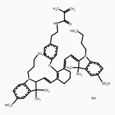 C=C(C)C(=O)NCCc1ccc(OC2=C(C=CC3N(CCCS(=O)(=O)O)c4ccc(S(=O)(=O)O)cc4C3(C)C)CCCC2=CC=C2N(CCCS(=O)(=O)O)c3ccc(S(=O)(=O)O)cc3C2(C)C)cc1.[KH]